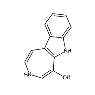 OC1=CNC=Cc2c1[nH]c1ccccc21